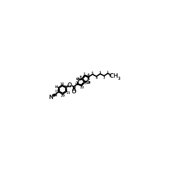 CCCCCCc1cc2sc(C(=O)Oc3ccc(C#N)cc3)cc2s1